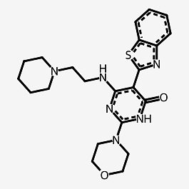 O=c1[nH]c(N2CCOCC2)nc(NCCN2CCCCC2)c1-c1nc2ccccc2s1